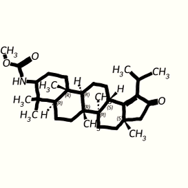 COC(=O)NC1CC[C@]2(C)[C@H]3CC[C@@H]4C5=C(C(C)C)C(=O)C[C@]5(C)CC[C@@]4(C)[C@]3(C)CC[C@H]2C1(C)C